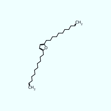 C=CCCCCCCCCCc1ccc(CCCCCCCCCC=C)o1